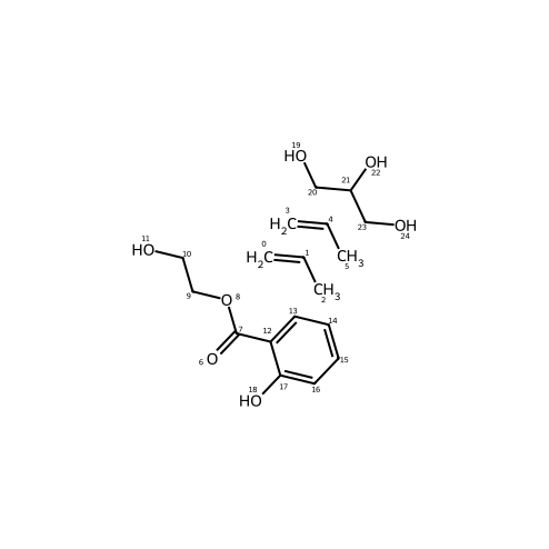 C=CC.C=CC.O=C(OCCO)c1ccccc1O.OCC(O)CO